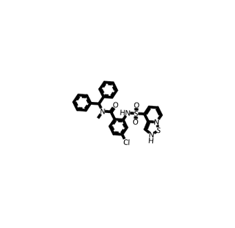 CN(C(=O)c1ccc(Cl)cc1NS(=O)(=O)C1=CC=CN2SNC=C12)C(c1ccccc1)c1ccccc1